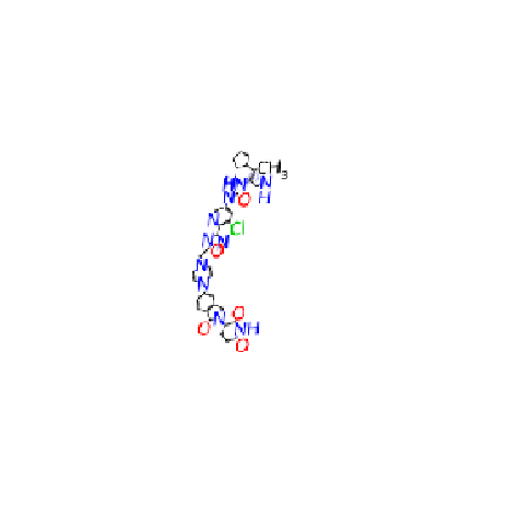 C/C(=C(\C=N)NC(=O)Nc1cnc(-c2noc(CN3CCN(c4ccc5c(c4)CN(C4CCC(=O)NC4=O)C5=O)CC3)n2)c(Cl)c1)C1CCCC1